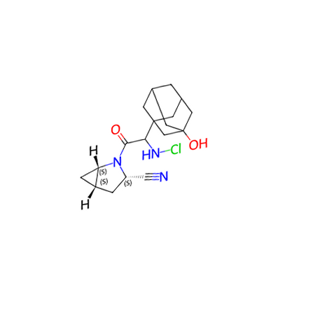 N#C[C@@H]1C[C@@H]2C[C@@H]2N1C(=O)C(NCl)C12CC3CC(CC(O)(C3)C1)C2